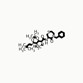 CO[C@@H](C(=O)NC1CSCCN(Cc2ccccc2)C1=O)[C@@H]1OC(C)(C)O[C@H](/C=C/C(C)(C)C)[C@@H]1O